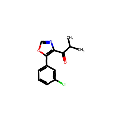 CC(C)C(=O)c1ncoc1-c1cccc(Cl)c1